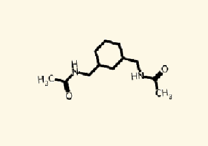 CC(=O)NCC1CCCC(CNC(C)=O)C1